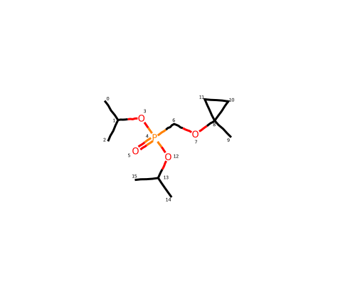 CC(C)OP(=O)(COC1(C)CC1)OC(C)C